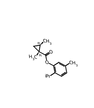 Cc1ccc(C(C)C)c(OC(=O)[C@]2(C)C[C@H]2C)c1